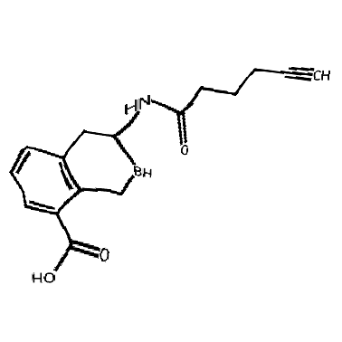 C#CCCCC(=O)NC1BCc2c(cccc2C(=O)O)C1